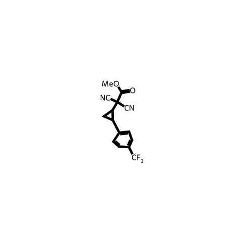 COC(=O)C(C#N)(C#N)C1CC1c1ccc(C(F)(F)F)cc1